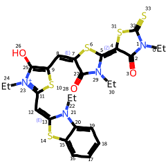 CCN1C(=O)/C(=c2/s/c(=C/c3sc(/C=C4/Sc5ccccc5N4CC)[n+](CC)c3O)c(=O)n2CC)SC1=S